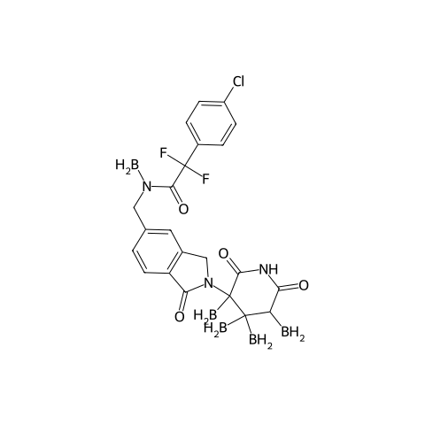 BC1C(=O)NC(=O)C(B)(N2Cc3cc(CN(B)C(=O)C(F)(F)c4ccc(Cl)cc4)ccc3C2=O)C1(B)B